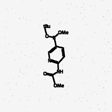 COB(OC(C)(C)C)c1ccc(NC(=O)OC)nc1